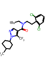 CC(C)(C)CN(CCc1c(Cl)cccc1Cl)C(=O)c1cnn(C2CCC(C(=O)O)CC2)c1C(F)(F)F